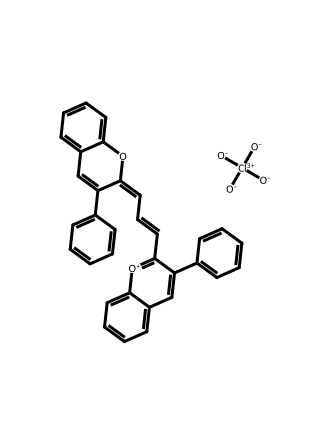 C(=Cc1[o+]c2ccccc2cc1-c1ccccc1)C=C1Oc2ccccc2C=C1c1ccccc1.[O-][Cl+3]([O-])([O-])[O-]